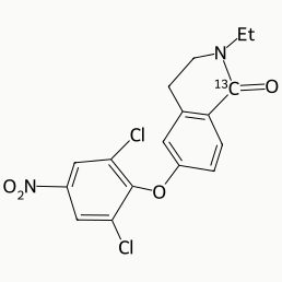 CCN1CCc2cc(Oc3c(Cl)cc([N+](=O)[O-])cc3Cl)ccc2[13C]1=O